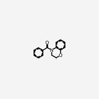 O=C(c1ccccc1)N1C[CH]Oc2ccccc21